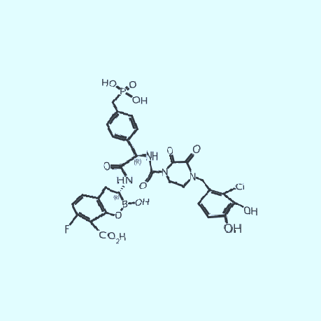 O=C(O)c1c(F)ccc2c1OB(O)[C@@H](NC(=O)[C@H](NC(=O)N1CCN(Cc3ccc(O)c(O)c3Cl)C(=O)C1=O)c1ccc(CP(=O)(O)O)cc1)C2